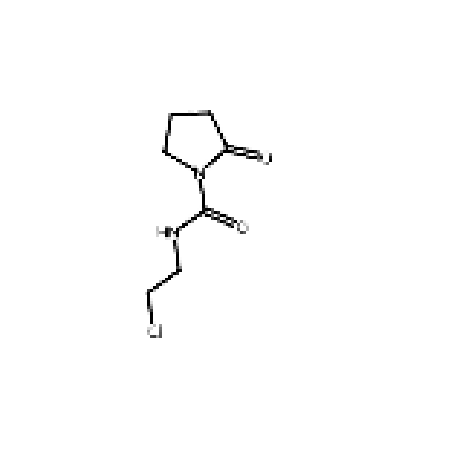 O=C1CCCN1C(=O)NCCCl